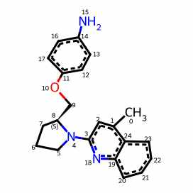 Cc1cc(N2CCC[C@H]2COc2ccc(N)cc2)nc2ccccc12